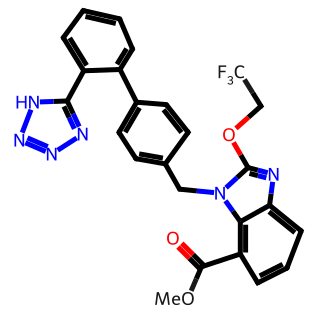 COC(=O)c1cccc2nc(OCC(F)(F)F)n(Cc3ccc(-c4ccccc4-c4nnn[nH]4)cc3)c12